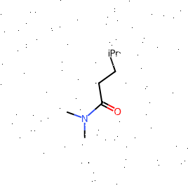 C[C](C)C[CH]C(=O)N(C)C